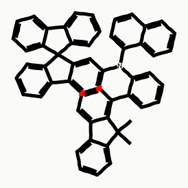 CC1(C)c2ccccc2-c2cccc(-c3ccccc3N(c3ccc4c(c3)C3(c5ccccc5-c5ccccc53)c3ccccc3-4)c3cccc4ccccc34)c21